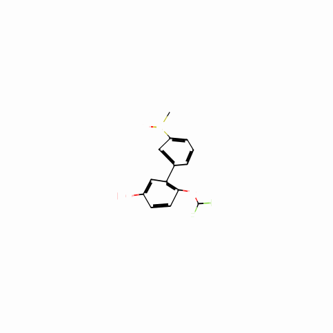 C[S+]([O-])c1cccc(-c2cc(O)ccc2OC(F)F)c1